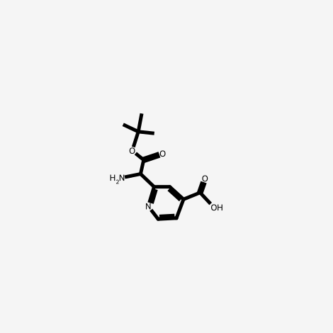 CC(C)(C)OC(=O)C(N)c1cc(C(=O)O)ccn1